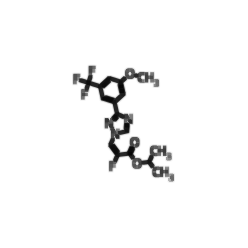 COc1cc(-c2ncn(/C=C(/F)C(=O)OC(C)C)n2)cc(C(F)(F)F)c1